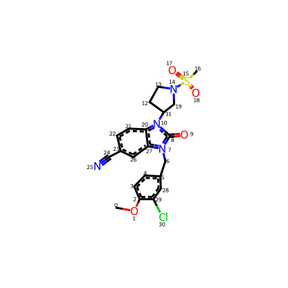 COc1ccc(Cn2c(=O)n(C3CCN(S(C)(=O)=O)C3)c3ccc(C#N)cc32)cc1Cl